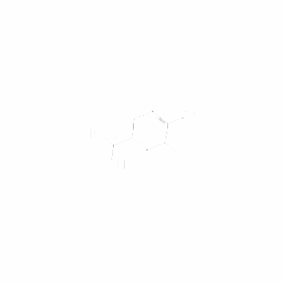 CC1CC(C(O)O)CC=C1F